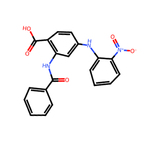 O=C(Nc1cc(Nc2ccccc2[N+](=O)[O-])ccc1C(=O)O)c1ccccc1